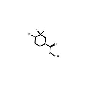 CC(C)(C)OC(=O)N1CC[C@@H](O)C(F)(F)C1